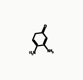 NC1=CCC(=O)C=C1N